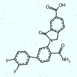 NC(=O)c1ccc(-c2ccc(F)c(F)c2)cc1N1Cc2ccc(C(=O)O)cc2C1=O